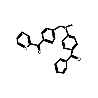 CN(Cc1ccc(C(=O)c2ccccn2)cc1)c1ccc(C(=O)c2ccccc2)cc1